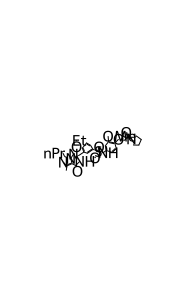 CCCc1nc(C)c2c(=O)[nH]c(-c3cc(S(=O)(=O)Nc4ccc(OCC(=O)N5CCCC5)c(OC)c4)ccc3OCC)nn12